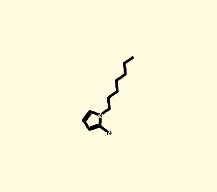 CCCCCCCn1cccc1[N]